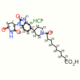 Cl.Cn1c(=O)n(C2CCC(=O)NC2=O)c2ccc(C3CCN(C(=O)CCCCCCCCC(=O)O)CC3)cc21